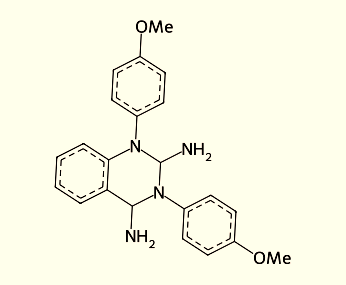 COc1ccc(N2c3ccccc3C(N)N(c3ccc(OC)cc3)C2N)cc1